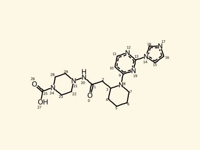 O=C(CC1CCCCN1c1ccnc(-n2ccnc2)n1)NN1CCN(C(=O)O)CC1